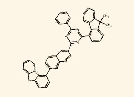 CC1(C)c2ccccc2-c2c(-c3nc(-c4ccccc4)nc(-c4ccc5cc(-c6cccc7sc8ccccc8c67)ccc5c4)n3)cccc21